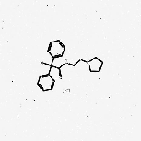 Cl.O=C(NCCN1CCCC1)C(Cl)(c1ccccc1)c1ccccc1